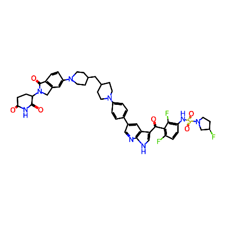 O=C1CCC(N2Cc3cc(N4CCC(CC5CCN(c6ccc(-c7cnc8[nH]cc(C(=O)c9c(F)ccc(NS(=O)(=O)N%10CC[C@@H](F)C%10)c9F)c8c7)cc6)CC5)CC4)ccc3C2=O)C(=O)N1